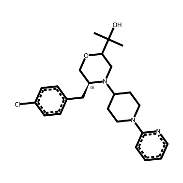 CC(C)(O)C1CN(C2CCN(c3ccccn3)CC2)[C@@H](Cc2ccc(Cl)cc2)CO1